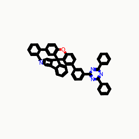 N#Cc1ccccc1-c1ccc2c(c1)C1(c3cc(-c4cccc(-c5nc(-c6ccccc6)nc(-c6ccccc6)n5)c4)ccc3O2)c2ccccc2-c2ccccc21